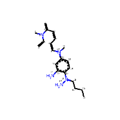 C=CN(C)C(=C)/C=C\C=C/N(C)c1ccc(N(N)CCCC)c(N)c1